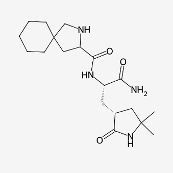 CC1(C)C[C@@H](C[C@H](NC(=O)C2CC3(CCCCC3)CN2)C(N)=O)C(=O)N1